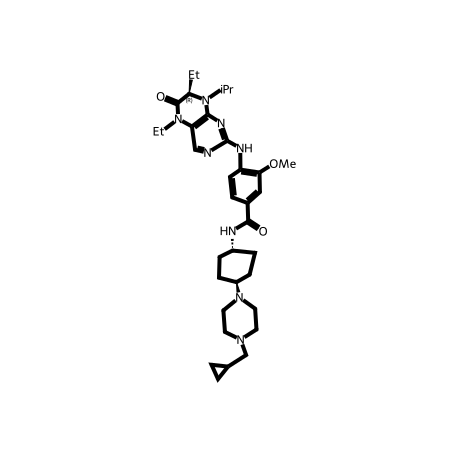 CC[C@@H]1C(=O)N(CC)c2cnc(Nc3ccc(C(=O)N[C@H]4CC[C@H](N5CCN(CC6CC6)CC5)CC4)cc3OC)nc2N1C(C)C